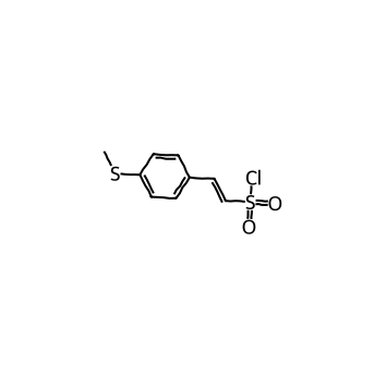 CSc1ccc(/C=C/S(=O)(=O)Cl)cc1